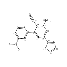 CN(C)c1cccc(-c2nc(-c3nccs3)cc(N)c2C#N)n1